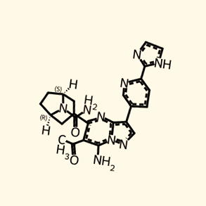 CC(=O)c1c(C2C[C@H]3CC[C@@H](C2)N3C(N)=O)nc2c(-c3ccc(-c4ncc[nH]4)nc3)cnn2c1N